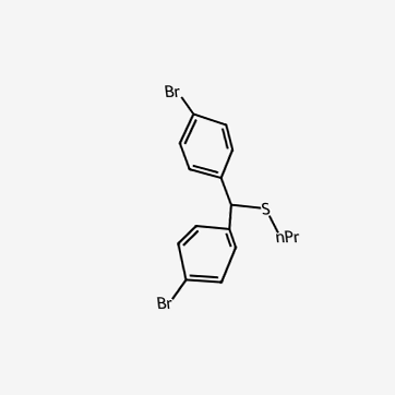 CCCSC(c1ccc(Br)cc1)c1ccc(Br)cc1